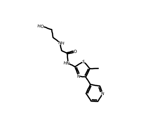 Cc1sc(NC(=O)CNCCO)nc1-c1cccnc1